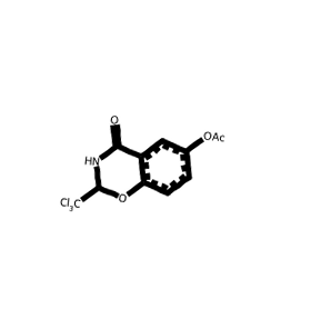 CC(=O)Oc1ccc2c(c1)C(=O)NC(C(Cl)(Cl)Cl)O2